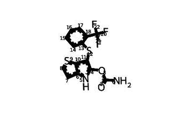 NC(=O)Oc1[nH]c2ccsc2c1Sc1ccccc1C(F)(F)F